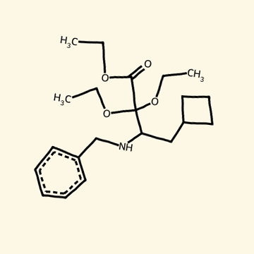 CCOC(=O)C(OCC)(OCC)C(CC1CCC1)NCc1ccccc1